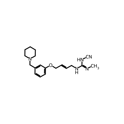 CN=C(NC#N)NCC=CCOc1cccc(CN2CCCCC2)c1